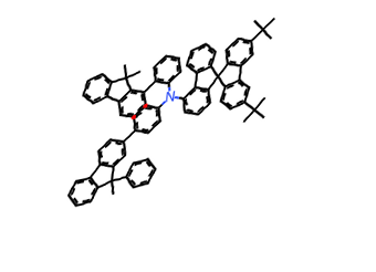 CC(C)(C)c1ccc2c(c1)-c1cc(C(C)(C)C)ccc1C21c2ccccc2-c2c(N(c3ccc(-c4ccc5c(c4)C(C)(c4ccccc4)c4ccccc4-5)cc3)c3ccccc3-c3cccc4c3C(C)(C)c3ccccc3-4)cccc21